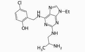 CCn1cnc2c(NCc3cc(Cl)ccc3O)nc(NCC(C)N)nc21